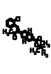 CC(=O)N(Cc1ccccc1Cl)[C@@H]1C[C@@H]2CN(C(=O)OC(C)(C)C)C[C@@H]2C1